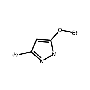 CCOC1=CC(C(C)C)=N[N]1